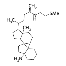 C=C(CCC(C)C1CCC2C1(C)CCC1C23CCC2(N)CCCCC123)NCCSC